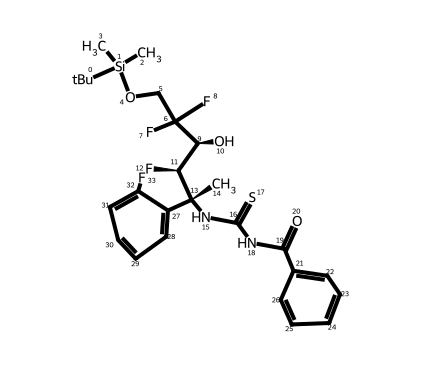 CC(C)(C)[Si](C)(C)OCC(F)(F)[C@@H](O)[C@H](F)[C@](C)(NC(=S)NC(=O)c1ccccc1)c1ccccc1F